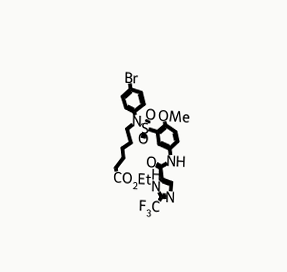 CCOC(=O)CCCCCN(c1ccc(Br)cc1)S(=O)(=O)c1cc(NC(=O)c2cnc(C(F)(F)F)[nH]2)ccc1OC